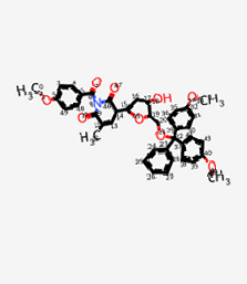 COc1ccc(C(=O)N2C(=O)C(C)=CC(C3CC(O)C(COC(c4ccccc4)(c4ccc(OC)cc4)c4ccc(OC)cc4)O3)C2=O)cc1